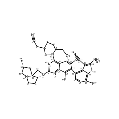 N#CCC1CCC2COc3c(Cl)c(-c4ccc(F)c5sc(N)c(C#N)c45)c(F)c4nc(OCC56CCCN5C[C@H](F)C6)nc(c34)N2C1